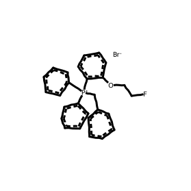 FCCOc1ccccc1[P+](Cc1ccccc1)(c1ccccc1)c1ccccc1.[Br-]